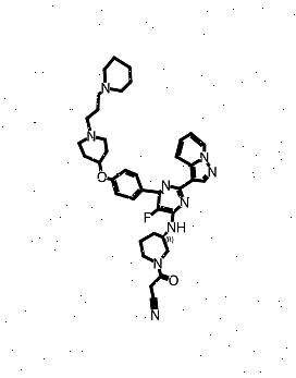 N#CCC(=O)N1CCC[C@@H](Nc2nc(-c3cnn4ccccc34)nc(-c3ccc(OC4CCN(CCCN5CCCCC5)CC4)cc3)c2F)C1